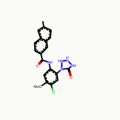 COc1cc(NC(=O)c2ccc3cc(C)ccc3c2)c(N2NNNC2=O)cc1Cl